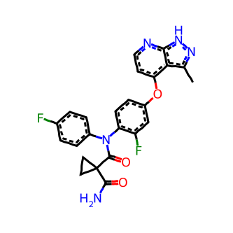 Cc1n[nH]c2nccc(Oc3ccc(N(C(=O)C4(C(N)=O)CC4)c4ccc(F)cc4)c(F)c3)c12